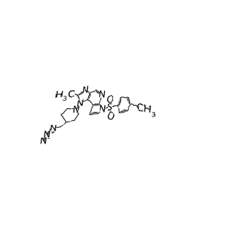 Cc1ccc(S(=O)(=O)n2ccc3c2ncc2nc(C)n(N4CCC(CN=[N+]=[N-])CC4)c23)cc1